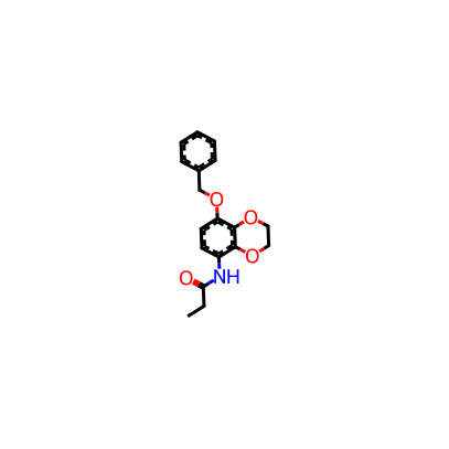 CCC(=O)Nc1ccc(OCc2ccccc2)c2c1OCCO2